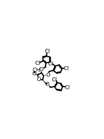 CO[C@@H]1O[C@H](COCc2ccc(Cl)cc2Cl)[C@@H](OCc2ccc(Cl)cc2Cl)[C@H]1OCc1ccc(Cl)cc1Cl